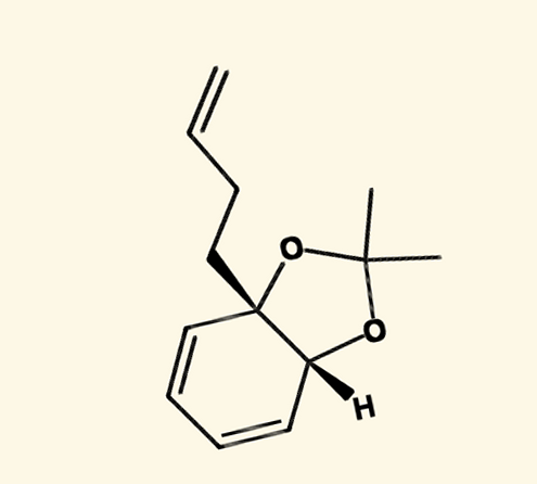 C=CCC[C@]12C=CC=C[C@H]1OC(C)(C)O2